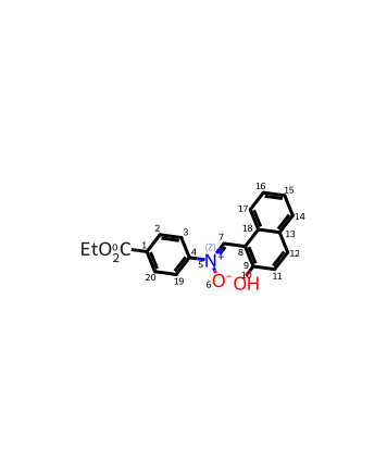 CCOC(=O)c1ccc(/[N+]([O-])=C/c2c(O)ccc3ccccc23)cc1